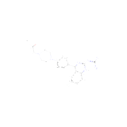 NC(N)=Nc1nc(-c2ccc(N3CCN(CC(=O)O)CC3)cc2)c2cc(Cl)ccc2n1